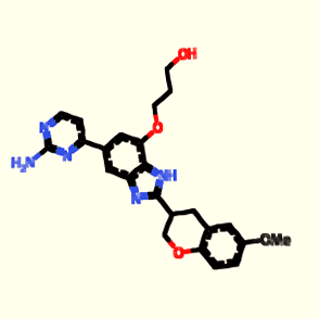 COc1ccc2c(c1)CC(c1nc3cc(-c4ccnc(N)n4)cc(OCCCO)c3[nH]1)CO2